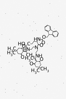 CC(NCCN(CCNC(C)=C1C(=O)CC(C)(C)CC1=O)C(=O)C(CCC(=O)O)NC(=O)OCC1c2ccccc2-c2ccccc21)=C1C(=O)CC(C)(C)CC1=O